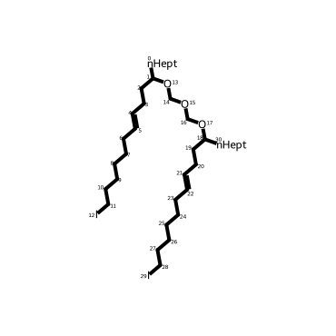 CCCCCCCC(CCC=CCCCCCCI)OCOCOC(CCC=CCCCCCCI)CCCCCCC